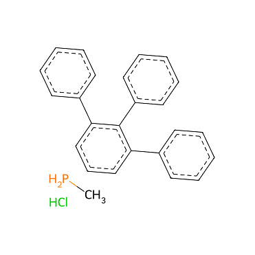 CP.Cl.c1ccc(-c2cccc(-c3ccccc3)c2-c2ccccc2)cc1